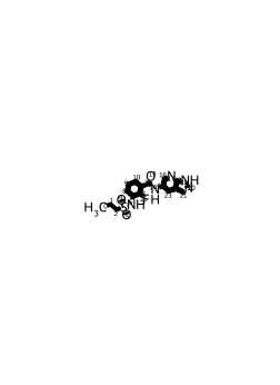 CCCS(=O)(=O)Nc1cccc(C(=O)Nc2cnc3[nH]ncc3c2)c1F